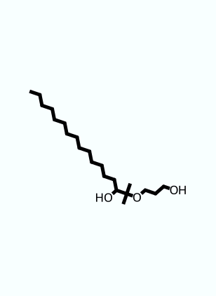 CCCCCCCCCCCCCCC(O)C(C)(C)OCCCO